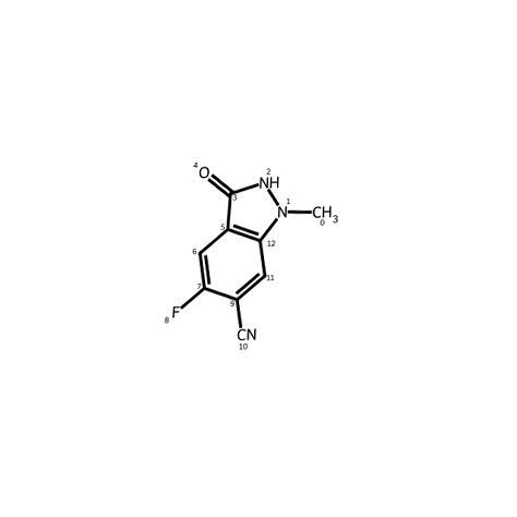 Cn1[nH]c(=O)c2cc(F)c(C#N)cc21